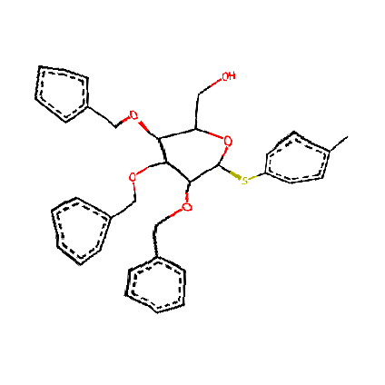 Cc1ccc(S[C@@H]2OC(CO)[C@H](OCc3ccccc3)C(OCc3ccccc3)C2OCc2ccccc2)cc1